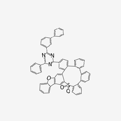 O=S1(=O)c2ccccc2-c2ccccc2-c2ccccc2-c2ccc(-c3nc(-c4ccccc4)nc(-c4cccc(-c5ccccc5)c4)n3)cc2-c2cc3oc4ccccc4c3cc21